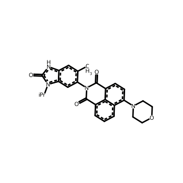 Cc1cc2[nH]c(=O)n(C(C)C)c2cc1N1C(=O)c2cccc3c(N4CCOCC4)ccc(c23)C1=O